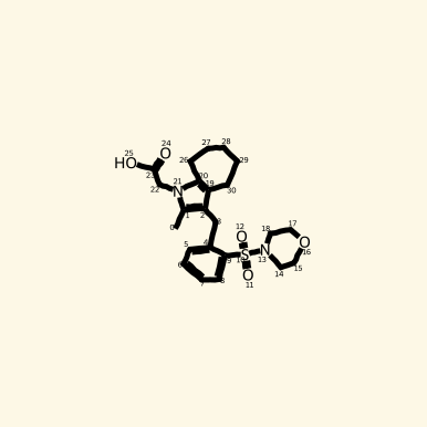 Cc1c(Cc2ccccc2S(=O)(=O)N2CCOCC2)c2c(n1CC(=O)O)CCCCC2